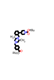 COC(=O)c1ccc(CN2C[C@@H](C)N(Cc3ccccc3C3=CCN(C(=O)OC(C)(C)C)CC3)[C@@H](C)C2)cc1